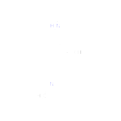 CC(CCN)C1C=CN(C)CC1